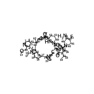 CCn1c(-c2cccnc2[C@H](C)OC)c2c3cc(ccc31)-c1csc(n1)C[C@H](NC(=O)[C@H](C(C)C)N(C)C(=O)N1CC[C@@H](F)[C@H](N)C1)C(=O)N1CCC[C@@](O)(N1)C(=O)OCC(C)(C)C2